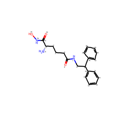 N[C@@H](CCCC(=O)NCC(c1ccccc1)c1ccccc1)C(=O)NO